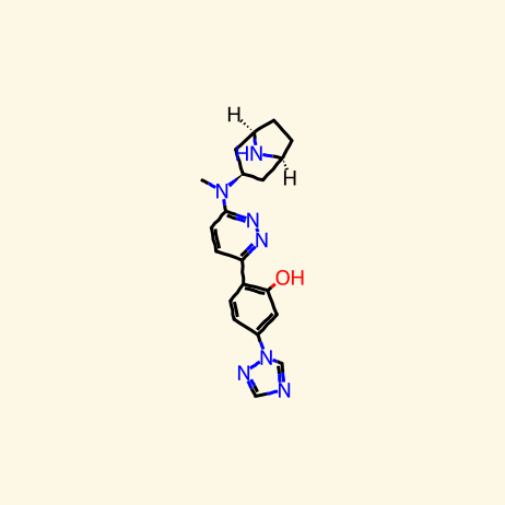 CN(c1ccc(-c2ccc(-n3cncn3)cc2O)nn1)[C@H]1C[C@H]2CC[C@@H](C1)N2